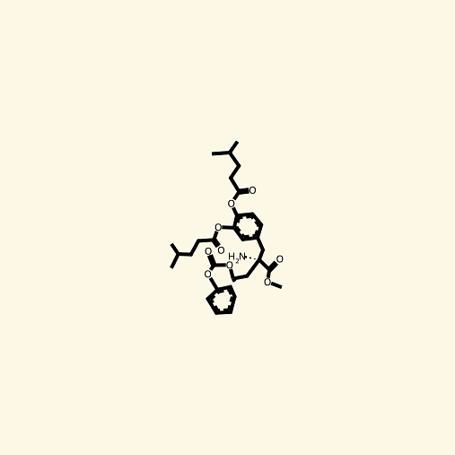 COC(=O)[C@](N)(Cc1ccc(OC(=O)CCC(C)C)c(OC(=O)CCC(C)C)c1)CC(C)OC(=O)Oc1ccccc1